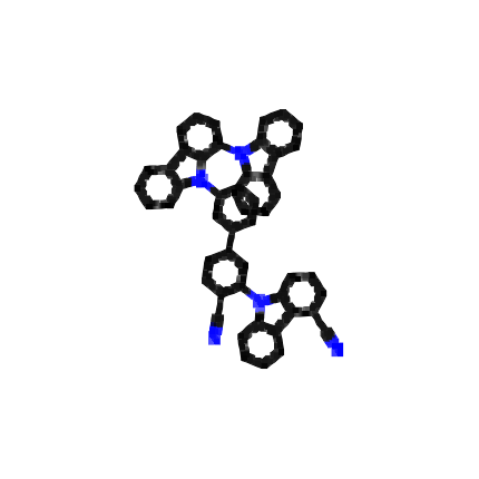 N#Cc1ccc(-c2cccc(-n3c4ccccc4c4cccc(-n5c6ccccc6c6ccccc65)c43)c2)cc1-n1c2ccccc2c2c(C#N)cccc21